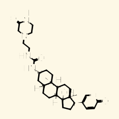 C[C@]12CC[C@H](NC(=O)NCCN3CCNC(=O)C3)C[C@H]1CC[C@@H]1[C@@H]2CC[C@]2(C)[C@@H](c3ccc(=O)oc3)CC[C@]12O